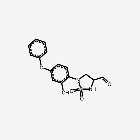 O=CC1CN(c2ccc(Oc3ccccc3)cc2O)S(=O)(=O)N1